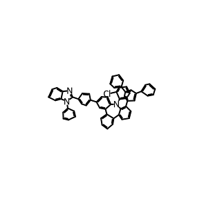 Clc1ccccc1N1c2ccc(-c3ccc(-c4nc5ccccc5n4-c4ccccc4)cc3)cc2-c2ccccc2-c2cccc(-c3cc(-c4ccccc4)cc(-c4ccccc4)c3)c21